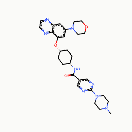 CN1CCN(c2ncc(C(=O)N[C@H]3CC[C@@H](Oc4cc(N5CCOCC5)cc5nccnc45)CC3)cn2)CC1